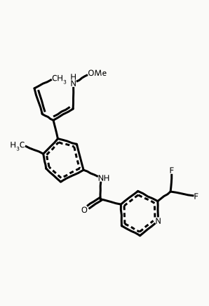 C/C=C\C(=C/NOC)c1cc(NC(=O)c2ccnc(C(F)F)c2)ccc1C